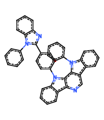 c1ccc(-n2c(-c3ccc(-n4c5ccccc5c5ncc6c7ccccc7n(-c7ccccc7)c6c54)cc3)nc3ccccc32)cc1